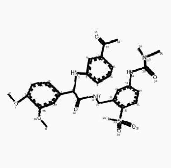 COc1ccc(C(Nc2cccc(C(C)=O)c2)C(=O)NCc2cc(NC(=O)N(C)C)ccc2S(=O)(=O)I)cc1OC